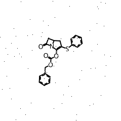 O=C(OCc1ccccc1)OC1=C(Sc2ccccc2)CC2CC(=O)N12